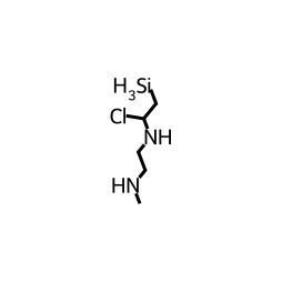 CNCCNC(Cl)C[SiH3]